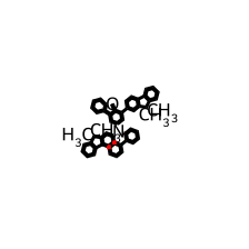 CC1(C)c2ccccc2-c2ccc(-c3cc(N(c4ccc5c(c4)C(C)(C)c4ccccc4-5)c4ccccc4-c4ccccc4)cc4c3oc3ccccc34)cc21